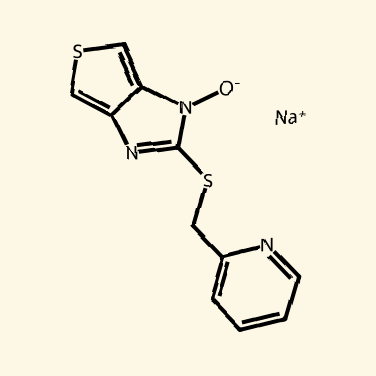 [Na+].[O-]n1c(SCc2ccccn2)nc2cscc21